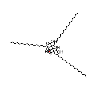 CCCCCCCCCCCCCCCCCC(CCCCCCCCCCCCCCCCC)(C(=O)O)C(O)(C(=O)O)C(CCCCCCCCCCCCCCCCC)(C(C)=O)C(=O)O